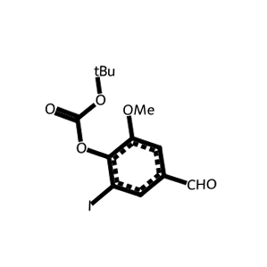 COc1cc(C=O)cc(I)c1OC(=O)OC(C)(C)C